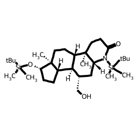 CC(C)(C)[Si](C)(C)O[C@H]1CC[C@H]2[C@@H]3[C@@H](CO)C[C@H]4N([Si](C)(C)C(C)(C)C)C(=O)CC[C@]4(C)[C@H]3CC[C@]12C